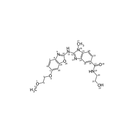 COCCOc1ccc2nc(Nc3nc4cc(C(=O)NCCO)ccc4n3C)oc2c1